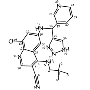 CC(C)(C)CNc1c(C#N)cnc2c(Cl)cc(NC(c3cccnc3)c3c[nH]nn3)cc12